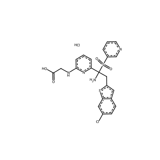 Cl.NC(Cc1cc2ccc(Cl)cc2s1)(c1cccc(NCC(=O)O)n1)S(=O)(=O)c1cccnc1